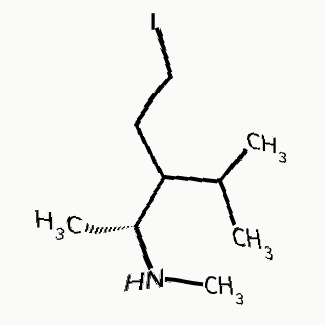 CN[C@H](C)C(CCI)C(C)C